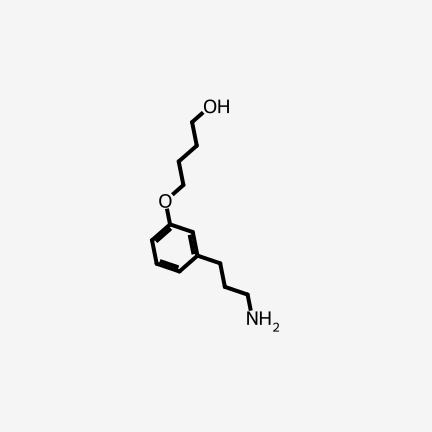 NCCCc1cccc(OCCCCO)c1